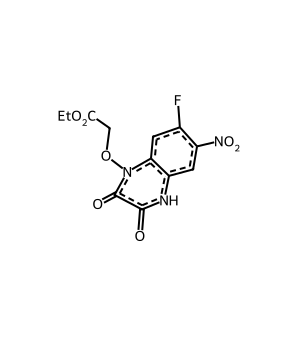 CCOC(=O)COn1c(=O)c(=O)[nH]c2cc([N+](=O)[O-])c(F)cc21